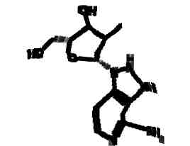 CC1C(O)[C@@H](CO)O[C@H]1N1NNc2c1ccnc2N